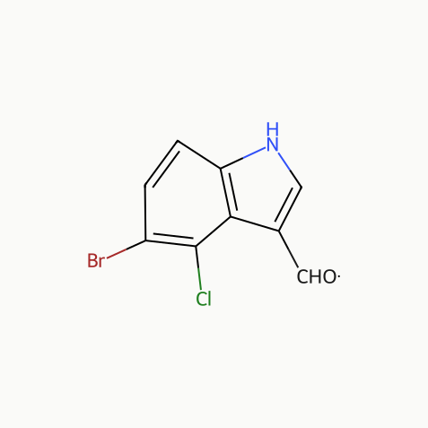 O=[C]c1c[nH]c2ccc(Br)c(Cl)c12